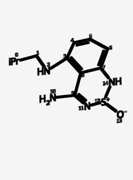 CC(C)CNc1cccc2c1C(N)=N[S+]([O-])N2